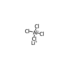 [Cl][Al-]([Cl])([Cl])[Cl].[Li+]